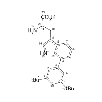 CC(C)(C)c1cc(-c2cccc3c(C[C@H](N)C(=O)O)c[nH]c23)cc(C(C)(C)C)c1